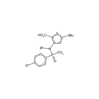 CC(C)N(c1cc(C(C)(C)C)sc1C(=O)O)P(C)(=O)c1ccc(Cl)cc1